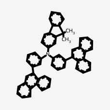 CC1(C)c2ccccc2-c2ccc(N(c3cccc(-c4cc5ccccc5c5ccccc45)c3)c3cccc(-c4cc5ccccc5c5ccccc45)c3)cc21